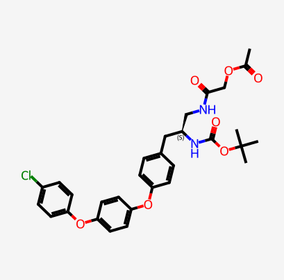 CC(=O)OCC(=O)NC[C@H](Cc1ccc(Oc2ccc(Oc3ccc(Cl)cc3)cc2)cc1)NC(=O)OC(C)(C)C